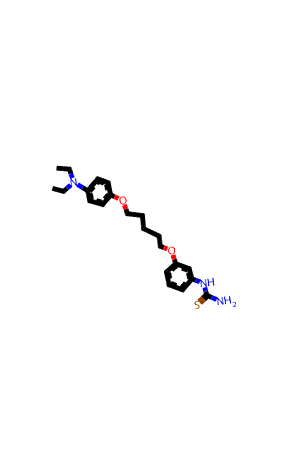 CCN(CC)c1ccc(OCCCCCOc2cccc(NC(N)=S)c2)cc1